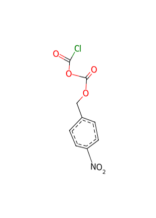 O=C(Cl)OC(=O)OCc1ccc([N+](=O)[O-])cc1